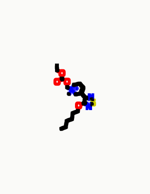 CCCCCCOc1nsnc1C1=CCC[N+](C)(COC(=O)OCC)C1